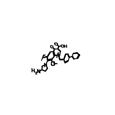 COc1c(N2CC[C@@H](N)C2)c(F)cc2c(=O)c(C(=O)O)cn(Cc3ccc(-c4ccccc4)cc3)c12